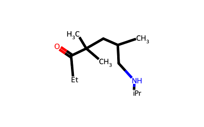 CCC(=O)C(C)(C)CC(C)CNC(C)C